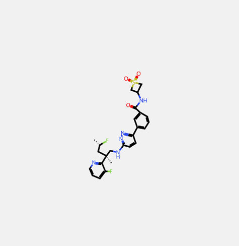 C[C@H](F)C[C@@](C)(CNc1ccc(-c2cccc(C(=O)NC3CS(=O)(=O)C3)c2)nn1)c1ncccc1F